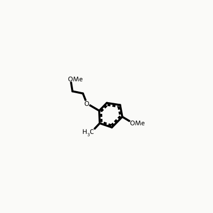 COCCOc1ccc(OC)cc1C